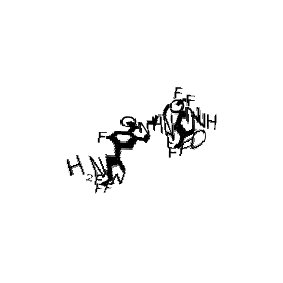 Nc1cc(-c2cc3ccn(CCC[C@H](COC(F)F)Nc4cn[nH]c(=O)c4C(F)(F)F)c(=O)c3cc2F)cnc1C(F)(F)F